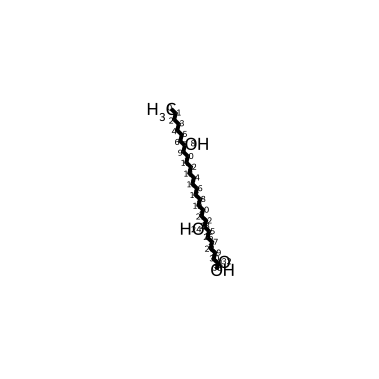 CCCCCCCC(O)CCCCCCCCCCCCCCC(O)CCCCCCC(=O)O